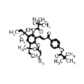 C=CC(C)(C)c1cc(C(C)(C)C=C)c(OC(=O)C(C)(C)C)c(C=CC(=O)c2ccc(OC(=O)C(C)(C)C)cc2)c1OCCC